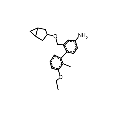 CCOc1cccc(-c2ccc(N)cc2COC2CC3CC3C2)c1C